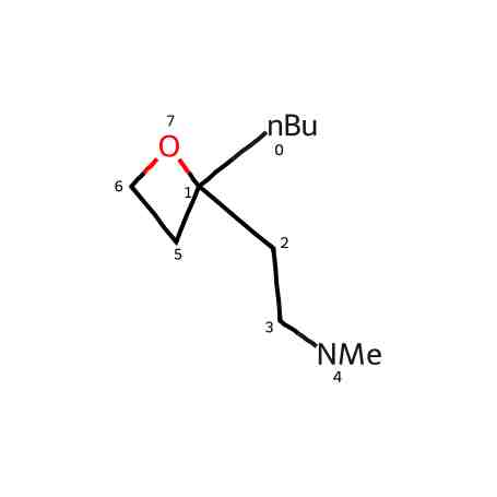 CCCCC1(CCNC)CCO1